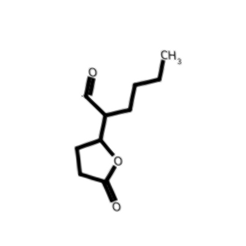 CCCCC([C]=O)C1CCC(=O)O1